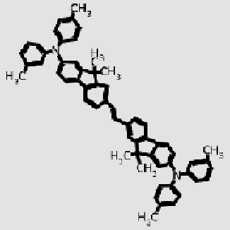 Cc1ccc(N(c2cccc(C)c2)c2ccc3c(c2)C(C)(C)c2cc(/C=C/c4ccc5c(c4)C(C)(C)c4cc(N(c6ccc(C)cc6)c6cccc(C)c6)ccc4-5)ccc2-3)cc1